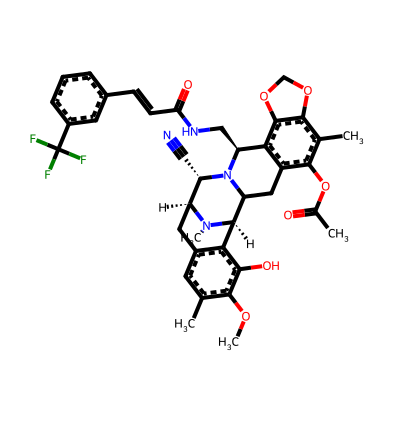 COc1c(C)cc2c(c1O)[C@@H]1C3Cc4c(OC(C)=O)c(C)c5c(c4[C@H](CNC(=O)/C=C/c4cccc(C(F)(F)F)c4)N3[C@@H](C#N)[C@H](C2)N1C)OCO5